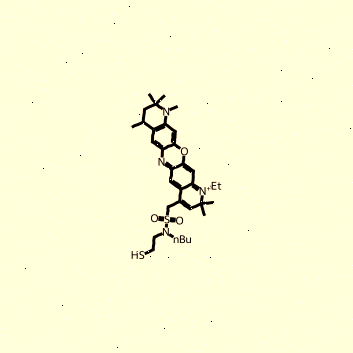 CCCCN(CCS)S(=O)(=O)CC1=CC(C)(C)[N+](CC)=c2cc3c(cc21)=Nc1cc2c(cc1O3)N(C)C(C)(C)CC2C